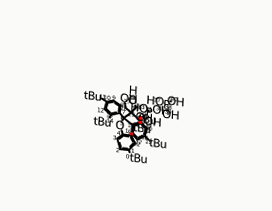 CC(C)(C)c1ccc(OC(c2ccc(C(C)(C)C)cc2C(C)(C)C)(c2ccc(C(C)(C)C)cc2C(C)(C)C)C(CO)(CO)CO)c(C(C)(C)C)c1.OP(O)O.OP(O)O